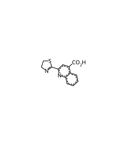 O=C(O)c1cc(C2=NCCS2)nc2ccccc12